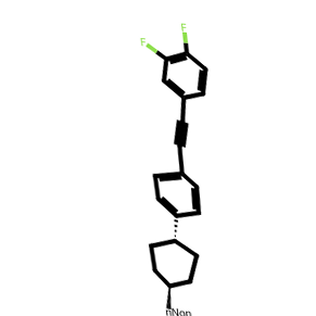 CCCCCCCCC[C@H]1CC[C@H](c2ccc(C#Cc3ccc(F)c(F)c3)cc2)CC1